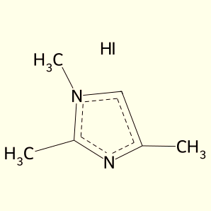 Cc1cn(C)c(C)n1.I